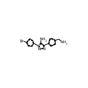 NCc1ccc(-c2nnn(-c3ccc(Br)cc3)c2N)cc1